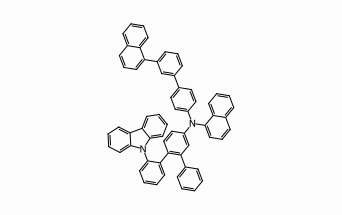 c1ccc(-c2cc(N(c3ccc(-c4cccc(-c5cccc6ccccc56)c4)cc3)c3cccc4ccccc34)ccc2-c2ccccc2-n2c3ccccc3c3ccccc32)cc1